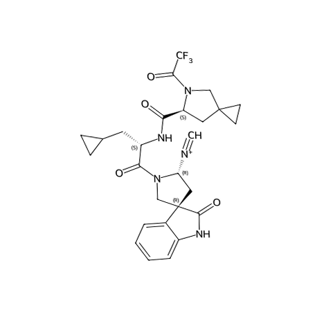 C#[N+][C@@H]1C[C@@]2(CN1C(=O)[C@H](CC1CC1)NC(=O)[C@@H]1CC3(CC3)CN1C(=O)C(F)(F)F)C(=O)Nc1ccccc12